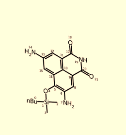 CCCC[Si](C)(C)Oc1c(N)cc2c3c(cc(N)cc13)C(=O)NC2=O